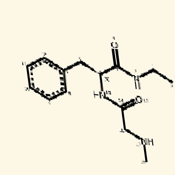 CCNC(=O)[C@H](Cc1ccccc1)NC(=O)CNC